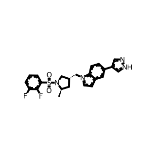 C[C@@H]1C[C@@H](Cn2ccc3cc(-c4cn[nH]c4)ccc32)CN1S(=O)(=O)c1cccc(F)c1F